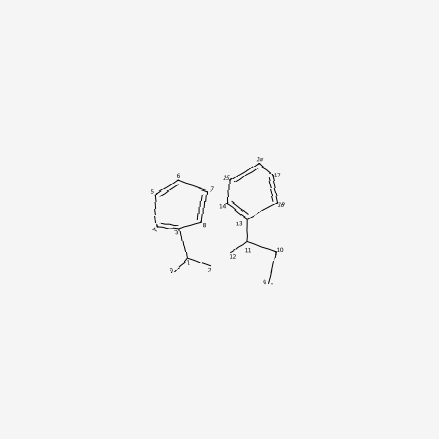 [CH2]C(C)c1ccccc1.[CH2]CC(C)c1ccccc1